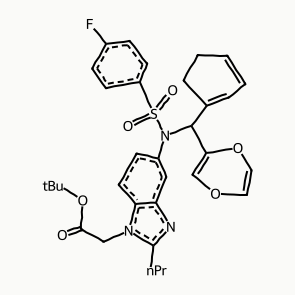 CCCc1nc2cc(N(C(C3=CC=CCC3)C3=COC=CO3)S(=O)(=O)c3ccc(F)cc3)ccc2n1CC(=O)OC(C)(C)C